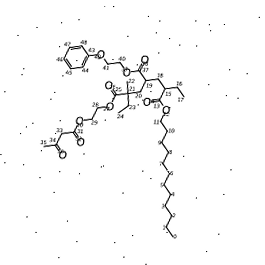 CCCCCCCCCCCCOC(=O)C(CC)CC(CC(C)(CC)C(=O)OCCOC(=O)CC(C)=O)C(=O)OCCOc1ccccc1